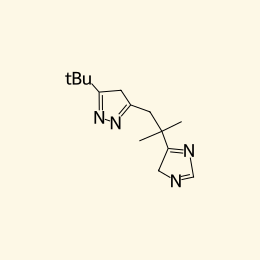 CC(C)(C)C1=NN=C(CC(C)(C)C2=NC=NC2)C1